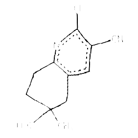 CC1(C)CCc2nc(Cl)c(C#N)cc2C1